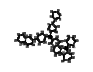 c1ccc(-c2ccc(N(c3ccc(-c4ccc5ccccc5c4)cc3)c3ccc4c(ccc5c6ccccc6n(-c6ccccc6)c45)c3)cc2)cc1